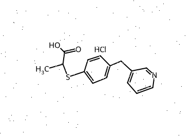 CC(Sc1ccc(Cc2cccnc2)cc1)C(=O)O.Cl